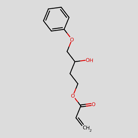 C=CC(=O)OCCC(O)COc1ccccc1